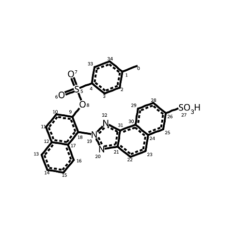 Cc1ccc(S(=O)(=O)Oc2ccc3ccccc3c2-n2nc3ccc4cc(S(=O)(=O)O)ccc4c3n2)cc1